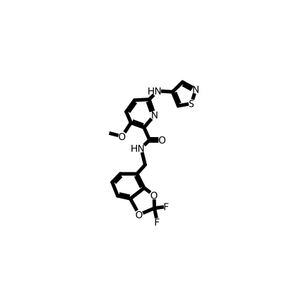 COc1ccc(Nc2cnsc2)nc1C(=O)NCc1cccc2c1OC(F)(F)O2